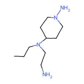 CCCN(CCN)C1CCN(N)CC1